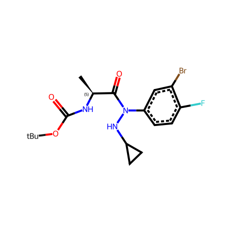 C[C@H](NC(=O)OC(C)(C)C)C(=O)N(NC1CC1)c1ccc(F)c(Br)c1